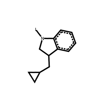 IN1CC(CC2CC2)c2ccccc21